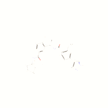 COc1cc(-c2cn[nH]c2)ccc1C(=O)N[C@H](CO)c1cccc(C(=O)NC2CCCC2)c1